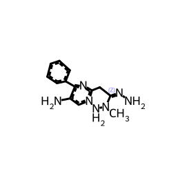 CN(N)/C(Cc1ncc(N)c(-c2ccccc2)n1)=N\N